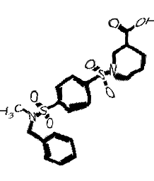 CN(Cc1ccccc1)S(=O)(=O)c1ccc(S(=O)(=O)N2CCCC(C(=O)O)C2)cc1